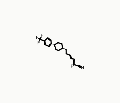 N#CC(F)=CC=CCC[C@H]1CC[C@H](c2ccc(C(F)(F)F)cc2)CC1